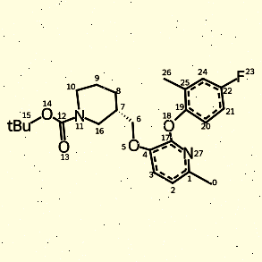 Cc1ccc(OC[C@H]2CCCN(C(=O)OC(C)(C)C)C2)c(Oc2ccc(F)cc2C)n1